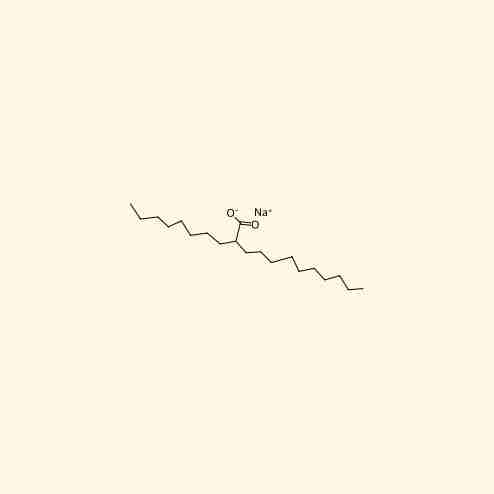 CCCCCCCCCCC(CCCCCCCC)C(=O)[O-].[Na+]